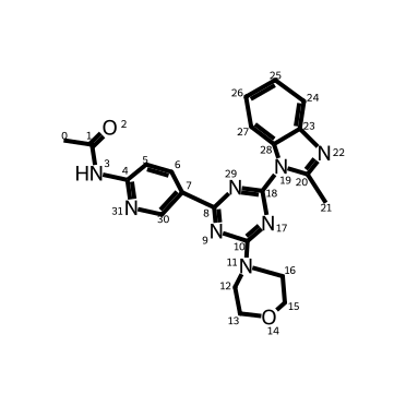 CC(=O)Nc1ccc(-c2nc(N3CCOCC3)nc(-n3c(C)nc4ccccc43)n2)cn1